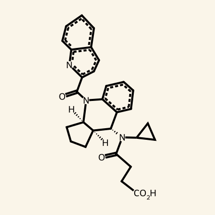 O=C(O)CCC(=O)N(C1CC1)[C@H]1c2ccccc2N(C(=O)c2ccc3ccccc3n2)[C@@H]2CCC[C@@H]21